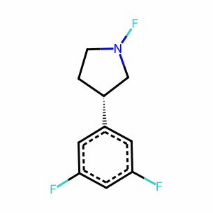 Fc1cc(F)cc([C@@H]2CCN(F)C2)c1